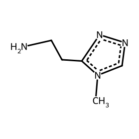 Cn1cnnc1CCN